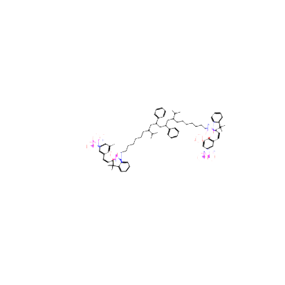 COc1cc([N+](=O)[O-])cc2c1OC1(C=C2)N(CCCCCCCC(CC(CC(CC(CCCCCCCN2c3ccccc3C(C)(C)C23C=Cc2cc([N+](=O)[O-])cc(C)c2O3)C(C)C)c2ccccc2)c2ccccc2)C(C)C)c2ccccc2C1(C)C